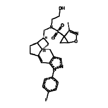 CC1=NOC2CC12S(=O)(=O)N(CCO)C[C@@H]1C[C@]23Cc4cnn(-c5ccc(F)cc5)c4C=C2CCC13